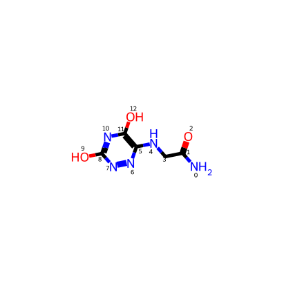 NC(=O)CNc1nnc(O)nc1O